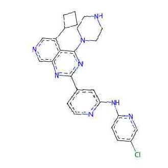 Clc1ccc(Nc2cc(-c3nc(N4CCNCC4)c4c(C5CCC5)cncc4n3)ccn2)nc1